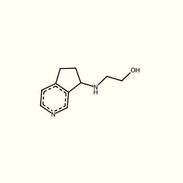 OCCNC1CCc2ccncc21